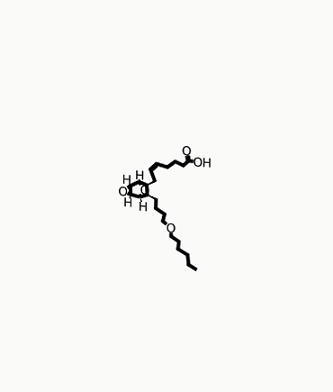 CCCCCCOCCCC[C@@H]1[C@H](C/C=C\CCCC(=O)O)[C@H]2O[C@@H]1[C@H]1O[C@H]12